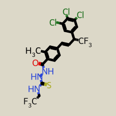 Cc1cc(/C=C/C(c2cc(Cl)c(Cl)c(Cl)c2)C(F)(F)F)ccc1C(=O)NNC(=S)NCC(F)(F)F